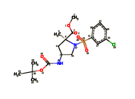 COC(=O)[C@]1(C)CC(NC(=O)OC(C)(C)C)CN1S(=O)(=O)c1cccc(Cl)c1